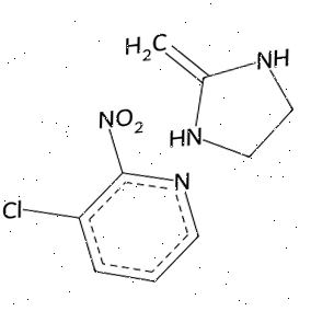 C=C1NCCN1.O=[N+]([O-])c1ncccc1Cl